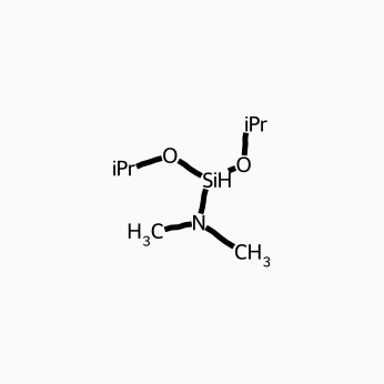 CC(C)O[SiH](OC(C)C)N(C)C